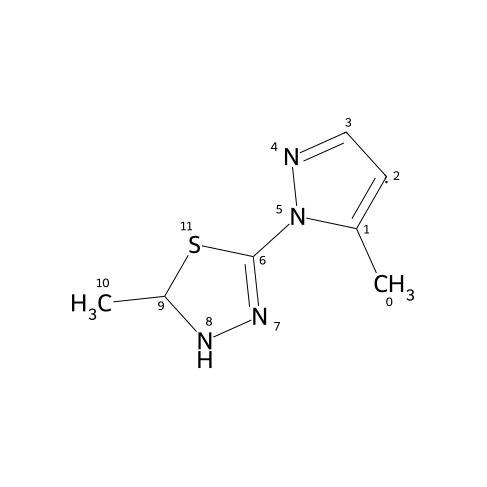 Cc1[c]cnn1C1=NNC(C)S1